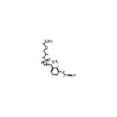 C#CCOc1cccc([C@@H](C)NS(=O)(=O)CCCOCOC)c1